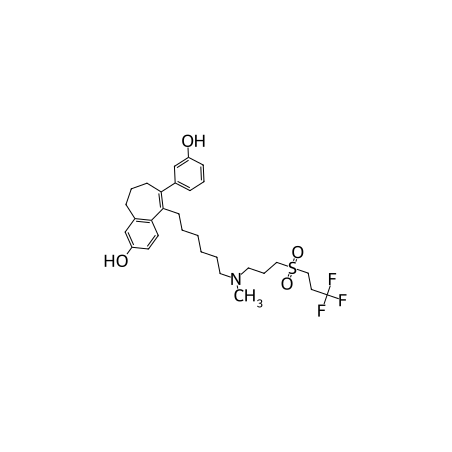 CN(CCCCCCC1=C(c2cccc(O)c2)CCCc2cc(O)ccc21)CCCS(=O)(=O)CCC(F)(F)F